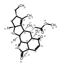 CC[C@@H]1C[C@H]2O[C@@H]3[C@@H]4OC(=O)[C@]5(C)C=CC(=O)[C@@](C)(C45)[C@@H](CC(=O)OC)[C@]3(C)C2=C1C